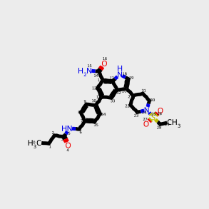 CCCC(=O)NCc1ccc(-c2cc(C(N)=O)c3[nH]cc(C4CCN(S(=O)(=O)CC)CC4)c3c2)cc1